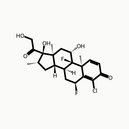 C[C@H]1C[C@H]2[C@@H]3C[C@H](F)C4=C(Cl)C(=O)C=C[C@]4(C)[C@@]3(F)[C@@H](O)C[C@]2(C)[C@@]1(O)C(=O)CO